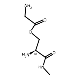 CNC(=O)[C@@H](N)COC(=O)CN